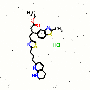 CCOC(=O)CC(Cc1csc(CCCc2ccc3c(n2)NCCC3)n1)c1ccc2sc(C)nc2c1.Cl